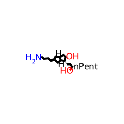 CCCCC[C@H](O)/C=C/[C@@H]1[C@H]2C/C(=C/CCCN)C[C@H]2C[C@H]1O